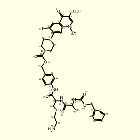 CCn1cc(C(=O)O)c(=O)c2cc(F)c(N3CCN(C(=O)OCc4ccc(NC(=O)C(CSCCN)NC(=O)C(NC(=O)OCc5ccccc5)C(C)C)cc4)CC3)cc21